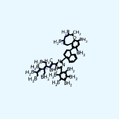 BC\C(B)=C(B)/C(CB)=C(CB)/C(B)=C(\C)c1nc(C2=C3C=CC=CC3C(c3c(B)cc(B)c4c3C/C=C(B)\C=C(\B)C(=C)O4)C=C2)nc(-c2c(B)c(B)c(B)c(B)c2B)n1